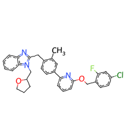 Cc1cc(-c2cccc(OCc3ccc(Cl)cc3F)n2)ccc1Cc1nc2ccccc2n1CC1CCCO1